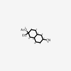 CCC1(OC(C)=O)CCC2CC(C#N)CCC2C1